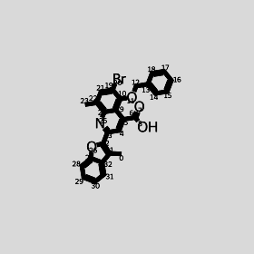 Cc1c(-c2cc(C(=O)O)c3c(OCc4ccccc4)c(Br)cc(C)c3n2)oc2ccccc12